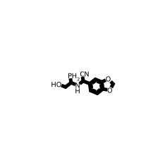 N#CC(NC(P)CO)c1ccc2c(c1)OCO2